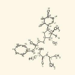 CC(C)OC(=O)[C@H](C)N[P@](=O)(OCC1C[C@@H](n2ccc(=O)[nH]c2=O)[C@](C)(F)[C@@H]1O)Oc1ccccc1